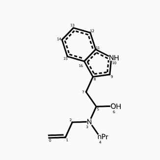 C=CCN(CCC)C(O)Cc1c[nH]c2ccccc12